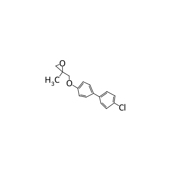 CC1(COc2ccc(-c3ccc(Cl)cc3)cc2)CO1